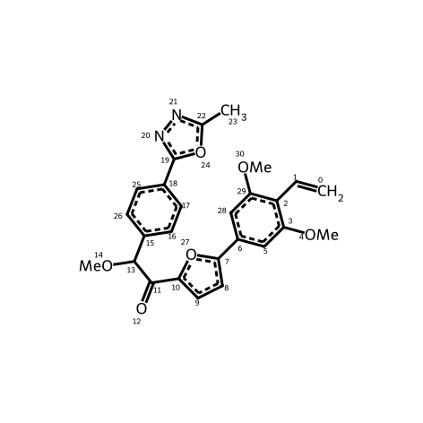 C=Cc1c(OC)cc(-c2ccc(C(=O)C(OC)c3ccc(-c4nnc(C)o4)cc3)o2)cc1OC